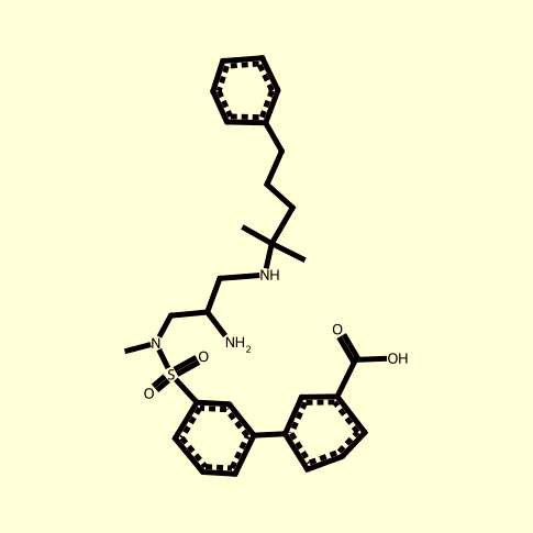 CN(CC(N)CNC(C)(C)CCCc1ccccc1)S(=O)(=O)c1cccc(-c2cccc(C(=O)O)c2)c1